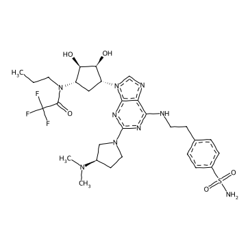 CCCN(C(=O)C(F)(F)F)[C@H]1C[C@@H](n2cnc3c(NCCc4ccc(S(N)(=O)=O)cc4)nc(N4CC[C@@H](N(C)C)C4)nc32)[C@H](O)[C@@H]1O